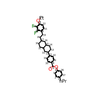 CCCc1ccc(OC(=O)c2ccc(C3CCC4CC(CCc5ccc(OCC)c(F)c5F)CCC4C3)cc2)cc1